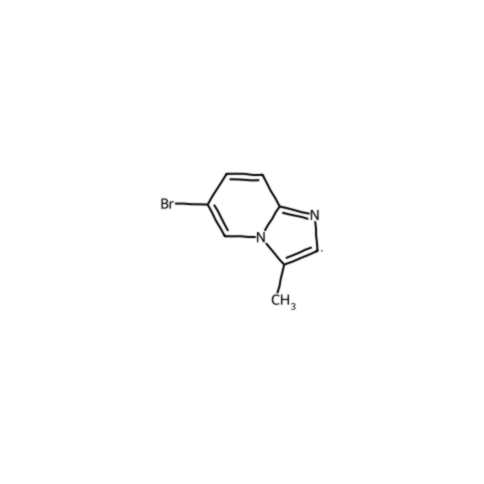 Cc1[c]nc2ccc(Br)cn12